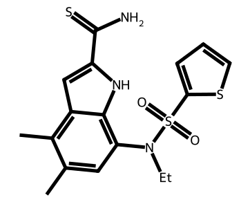 CCN(c1cc(C)c(C)c2cc(C(N)=S)[nH]c12)S(=O)(=O)c1cccs1